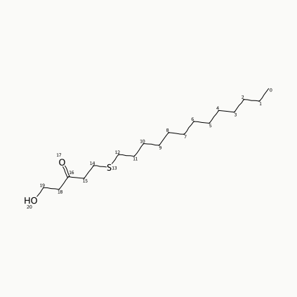 CCCCCCCCCCCCCSCCC(=O)CCO